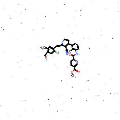 COC(=O)c1ccc(C(=O)Nc2cccc(-c3ccnc(/C=C/c4cc(C)c(C=O)cc4Cl)c3C#N)c2C)nc1